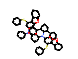 c1ccc(Sc2cc(N(c3ccccc3)c3cccc(N(c4cc(Sc5ccccc5)c5c(c4)oc4ccccc45)c4c(-c5ccccc5)cccc4-c4ccccc4)c3)cc3oc4ccccc4c23)cc1